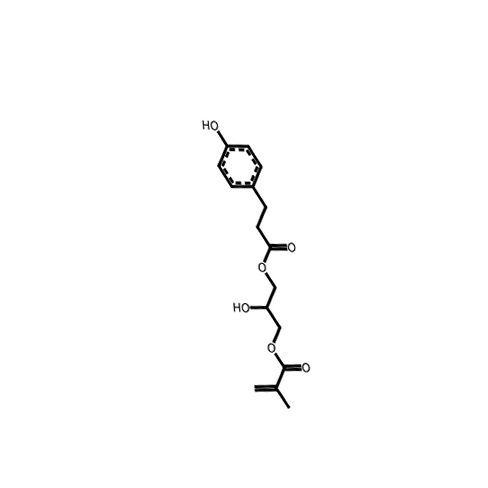 C=C(C)C(=O)OCC(O)COC(=O)CCc1ccc(O)cc1